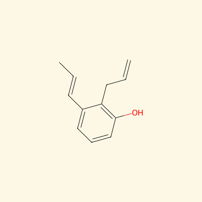 C=CCc1c(O)cccc1C=CC